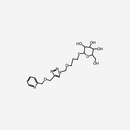 OCC1OC(SCCCOCn2cc(COCc3ccccn3)nn2)C(O)C(O)C1O